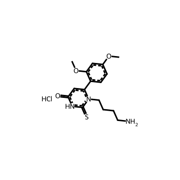 COc1ccc(-c2cc(=O)[nH]c(=S)n2CCCCN)c(OC)c1.Cl